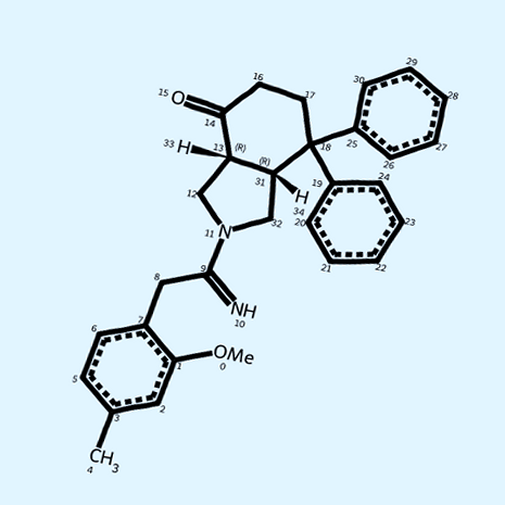 COc1cc(C)ccc1CC(=N)N1C[C@@H]2C(=O)CCC(c3ccccc3)(c3ccccc3)[C@@H]2C1